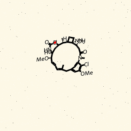 COc1cc2cc(c1Cl)N(C)C(=O)C[C@H](O)[C@]1(N)CC[C@H]1[C@H](C)[C@@H]1C[C@@](O)(NC(=O)O1)[C@H](OC)/C=C/C=C(\C)C2